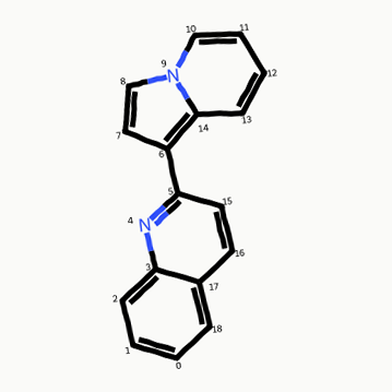 c1ccc2nc(-c3ccn4ccccc34)ccc2c1